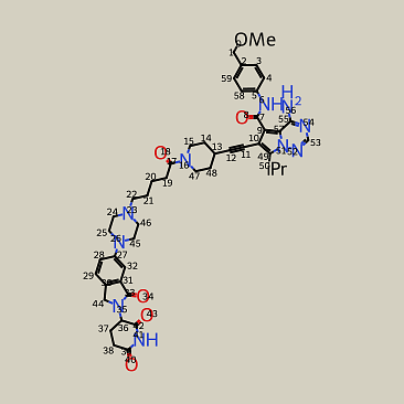 COCc1ccc(NC(=O)c2c(C#CC3CCN(C(=O)CCCCN4CCN(c5ccc6c(c5)C(=O)N(C5CCC(=O)NC5=O)C6)CC4)CC3)c(C(C)C)n3ncnc(N)c23)cc1